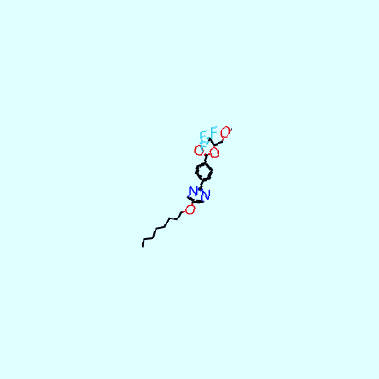 CCCCCCCCOc1cnc(-c2ccc(C(=O)OC(COC)C(F)(F)F)cc2)nc1